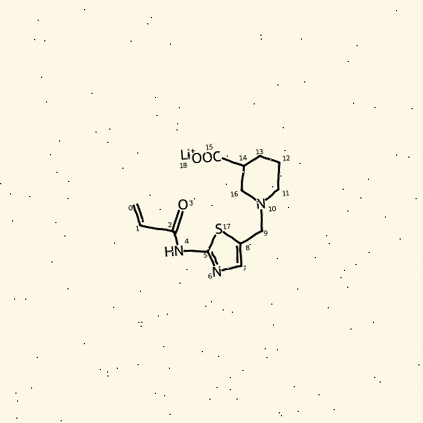 C=CC(=O)Nc1ncc(CN2CCCC(C(=O)[O-])C2)s1.[Li+]